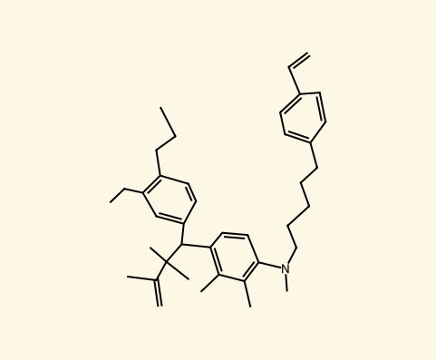 C=Cc1ccc(CCCCCN(C)c2ccc(C(c3ccc(CCC)c(CC)c3)C(C)(C)C(=C)C)c(C)c2C)cc1